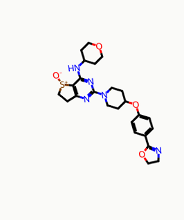 [O-][S+]1CCc2nc(N3CCC(Oc4ccc(C5=NCCO5)cc4)CC3)nc(NC3CCOCC3)c21